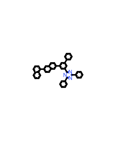 c1ccc(-c2cc(-c3ccc4cc(-c5cccc6ccccc56)ccc4c3)cc(-c3nc(-c4ccccc4)nc(-c4ccccc4)n3)c2)cc1